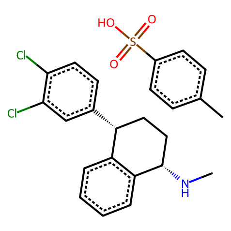 CN[C@H]1CC[C@@H](c2ccc(Cl)c(Cl)c2)c2ccccc21.Cc1ccc(S(=O)(=O)O)cc1